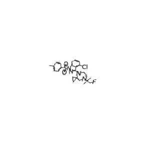 Cc1ccc(S(=O)(=O)n2nc(N3CCN(C(C)(C)CF)CC34CC4)c3c(Cl)cccc32)cc1